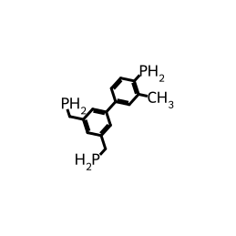 Cc1cc(-c2cc(CP)cc(CP)c2)ccc1P